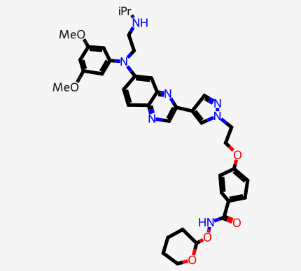 COc1cc(OC)cc(N(CCNC(C)C)c2ccc3ncc(-c4cnn(CCOc5ccc(C(=O)NOC6CCCCO6)cc5)c4)nc3c2)c1